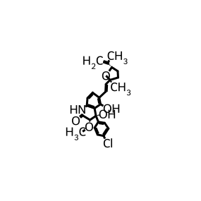 C=C(C)[C@@H]1CC[C@](C)(/C=C/c2ccc3c(c2O)[C@@](O)(c2ccc(Cl)cc2)[C@H](OC)C(=O)N3)O1